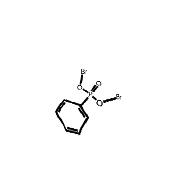 O=P(OBr)(OBr)c1ccccc1